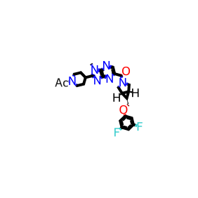 CC(=O)N1CCC(c2nc3nc(C(=O)N4C[C@@H]5[C@H](COc6cc(F)cc(F)c6)[C@@H]5C4)cnc3n2C)CC1